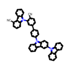 N#Cc1ccc(-c2ccc(-n3c4ccccc4c4cc(-n5c6ccccc6c6ccccc65)ccc43)cc2)cc1-n1c2ccccc2c2c(C#N)cccc21